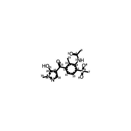 CC(=O)Nc1c(S(C)(=O)=O)ccc(C(=O)c2cnn(C)c2O)c1C